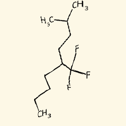 CCCCC(CCC(C)C)C(F)(F)F